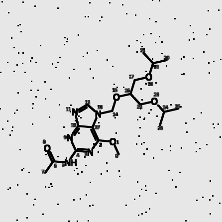 COc1nc(NC(C)=O)nc2ncn(COC(COC(C)C)COC(C)C)c12